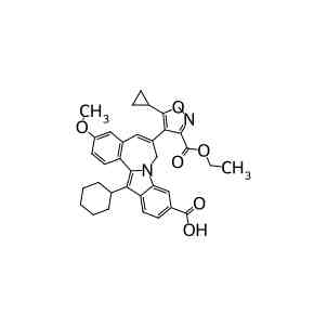 CCOC(=O)c1noc(C2CC2)c1C1=Cc2cc(OC)ccc2-c2c(C3CCCCC3)c3ccc(C(=O)O)cc3n2C1